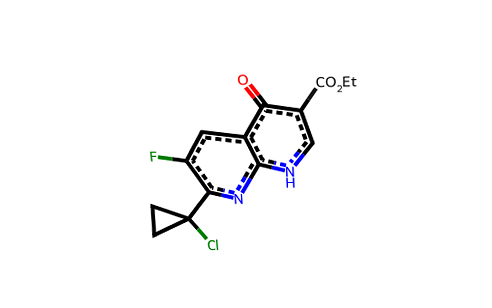 CCOC(=O)c1c[nH]c2nc(C3(Cl)CC3)c(F)cc2c1=O